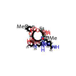 CC[C@H]1OC(=O)[C@H](C)[C@@H](O[C@H]2C[C@@](C)(OC)C[C@H](C)O2)[C@H](C)[C@@H](O[C@@H]2O[C@H](C)C[C@H](N(C)CCC3=CN([C@H](CF)[C@H](OC)c4ccc(C(C)=N)cc4)NN3)[C@H]2O)[C@](C)(O)C[C@@H](C)CN(C)[C@H](C)[C@@H](O)[C@]1(C)O